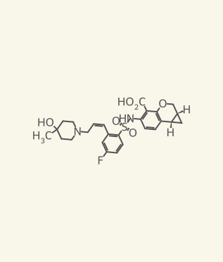 CC1(O)CCN(C/C=C\c2cc(F)ccc2S(=O)(=O)Nc2ccc3c(c2C(=O)O)OC[C@@H]2C[C@H]32)CC1